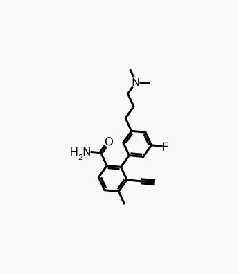 C#Cc1c(C)ccc(C(N)=O)c1-c1cc(F)cc(CCCN(C)C)c1